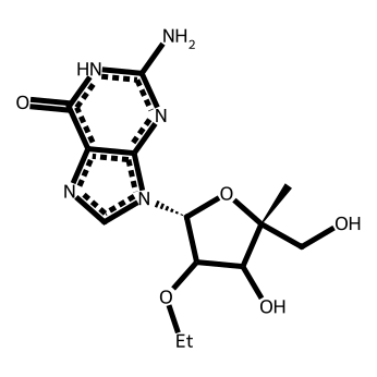 CCOC1C(O)[C@@](C)(CO)O[C@H]1n1cnc2c(=O)[nH]c(N)nc21